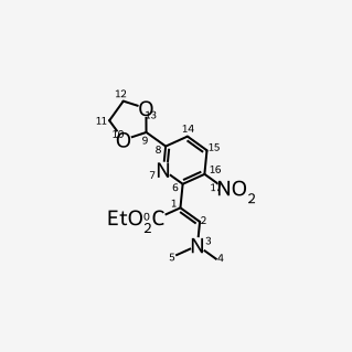 CCOC(=O)C(=CN(C)C)c1nc(C2OCCO2)ccc1[N+](=O)[O-]